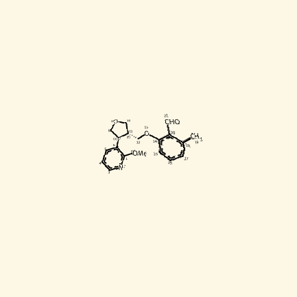 COc1ncccc1[C@H]1COC[C@@H]1COc1cccc(C)c1C=O